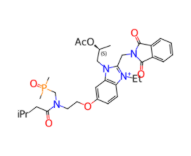 CC[n+]1c(CN2C(=O)c3ccccc3C2=O)n(C[C@H](C)OC(C)=O)c2cc(OCCN(CP(C)(C)=O)C(=O)CC(C)C)ccc21